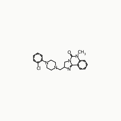 CN1C(=O)N2CC(CN3CCN(c4ccccc4Cl)CC3)N=C2c2ccccc21